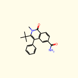 Cn1c(C(C)(C)C)c(-c2ccccc2)c2cc(C(N)=O)ccc2c1=O